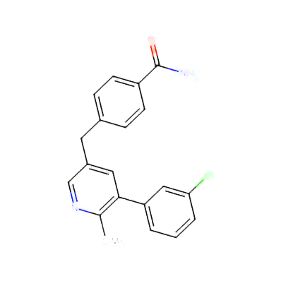 COc1ncc(Cc2ccc(C(N)=O)cc2)cc1-c1cccc(Cl)c1